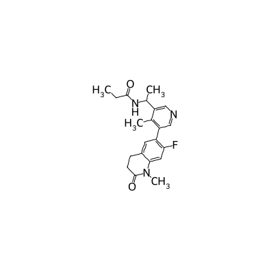 CCC(=O)NC(C)c1cncc(-c2cc3c(cc2F)N(C)C(=O)CC3)c1C